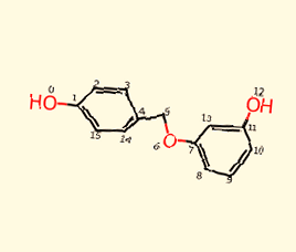 Oc1ccc(COc2cccc(O)c2)cc1